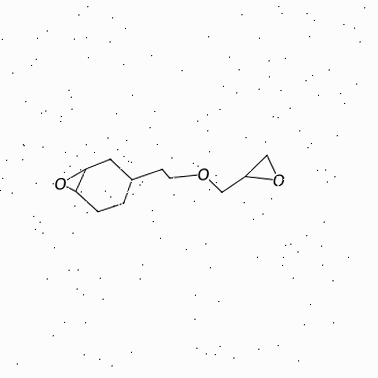 C(CC1CCC2OC2C1)OCC1CO1